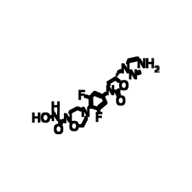 C=NN(/C=C\N)C[C@H]1CN(c2cc(F)c(N3CCON(C(=O)NO)CC3)c(F)c2)C(=O)O1